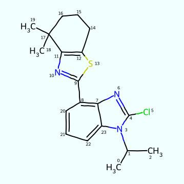 CC(C)n1c(Cl)nc2c(-c3nc4c(s3)CCCC4(C)C)cccc21